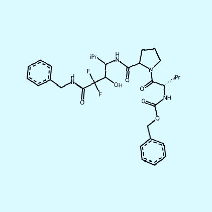 CC(C)C(NC(=O)C1CCCN1C(=O)[C@@H](NC(=O)OCc1ccccc1)C(C)C)C(O)C(F)(F)C(=O)NCc1ccccc1